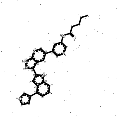 CCCCC(=O)Nc1cncc(-c2cnc3[nH]nc(-c4cc5c(-c6ccsc6)cccc5[nH]4)c3c2)c1